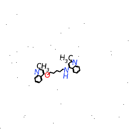 Cc1cc(NCCCCCOc2cc(C)nc3ccccc23)c2ccccc2n1